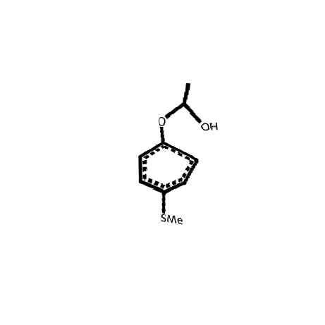 CSc1ccc(OC(C)O)cc1